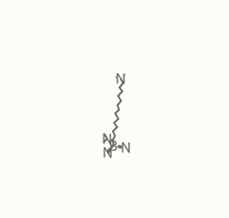 CN(C)CCCCCCCCCCCCCC(B(C#N)C#N)N(C)C